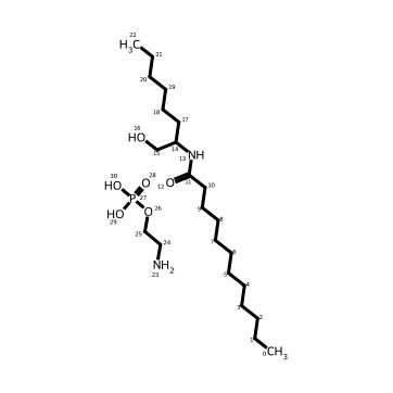 CCCCCCCCCCCC(=O)NC(CO)CCCCCC.NCCOP(=O)(O)O